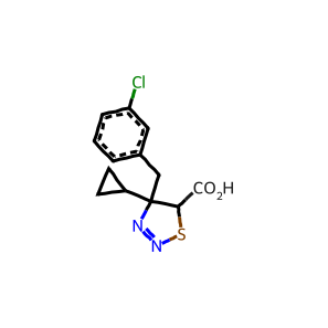 O=C(O)C1SN=NC1(Cc1cccc(Cl)c1)C1CC1